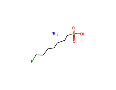 N.O=S(=O)(O)CCCCCCCF